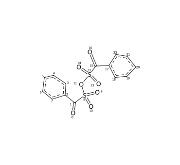 O=C(c1ccccc1)S(=O)(=O)OS(=O)(=O)C(=O)c1ccccc1